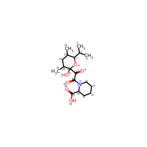 CC(C)C1OC(O)(C(=O)C(=O)N2CCCCC2C(=O)O)C(C)CC1C